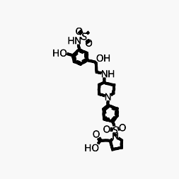 CS(=O)(=O)Nc1cc(C(O)CNC2CCN(c3ccc(S(=O)(=O)N4CCCC4C(=O)O)cc3)CC2)ccc1O